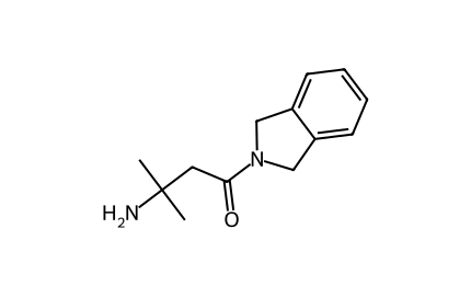 CC(C)(N)CC(=O)N1Cc2ccccc2C1